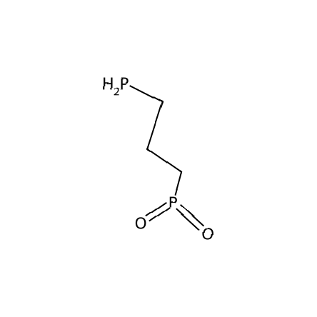 O=P(=O)CCCP